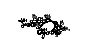 CCn1c(-c2cccnc2[C@H](C)OC)c2c3cc(ccc31)-c1cc(O)cc(c1)C[C@H](NC(=O)C(C(C)C)N1CCC3(CN(C(=O)[C@@H]4CN4)C3)C1=O)C(=O)N1CCC[C@H](N1)C(=O)OCC(C)(C)C2